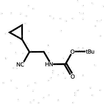 CC(C)(C)OC(=O)NCC(C#N)C1CC1